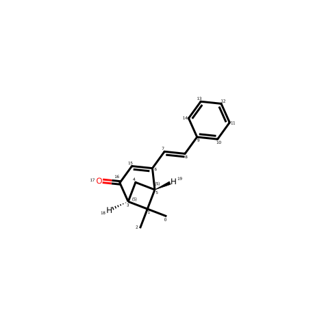 CC1(C)[C@@H]2C[C@@H]1C(C=Cc1ccccc1)=CC2=O